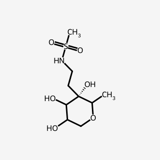 CC1OCC(O)C(O)[C@@]1(O)CCNS(C)(=O)=O